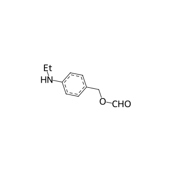 CCNc1ccc(COC=O)cc1